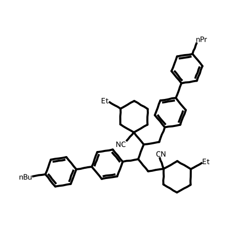 CCCCc1ccc(-c2ccc(C(CC3(C#N)CCCC(CC)C3)C(Cc3ccc(-c4ccc(CCC)cc4)cc3)C3(C#N)CCCC(CC)C3)cc2)cc1